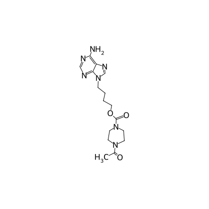 CC(=O)N1CCN(C(=O)OCCCCn2cnc3c(N)ncnc32)CC1